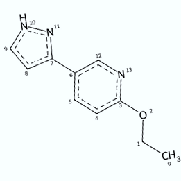 CCOc1ccc(-c2cc[nH]n2)cn1